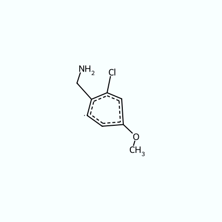 COc1c[c]c(CN)c(Cl)c1